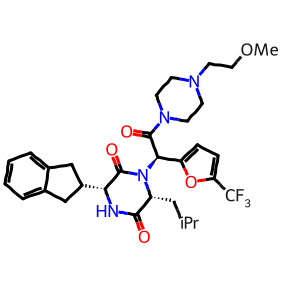 COCCN1CCN(C(=O)[C@@H](c2ccc(C(F)(F)F)o2)N2C(=O)[C@@H](C3Cc4ccccc4C3)NC(=O)[C@H]2CC(C)C)CC1